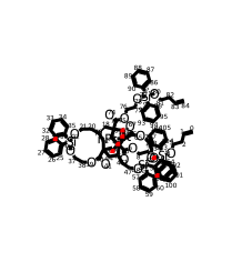 C=CCCO[Si](OCCOC(=O)C(C)(CC)CC(C)(C[C@@H]1CCO[Si](c2ccccc2)(c2ccccc2)OCCOC(=O)C(C)(CC2CCO[Si](c3ccccc3)(c3ccccc3)OCCOC(=O)C(C)(CCC)C2)C1)C(=O)OCCO[Si](OCCC=C)(c1ccccc1)c1ccccc1)(c1ccccc1)c1ccccc1